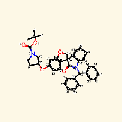 CC(C)(C)OC(=O)N1CCC(Oc2ccc3c(c2)OCC32C(=O)N(C(c3ccccc3)c3ccccc3)c3ccccc32)C1